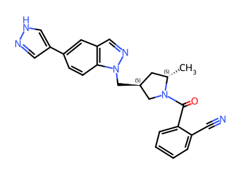 C[C@H]1C[C@H](Cn2ncc3cc(-c4cn[nH]c4)ccc32)CN1C(=O)c1ccccc1C#N